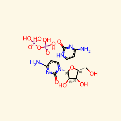 Nc1cc[nH]c(=O)n1.Nc1ccn([C@@H]2O[C@H](CO)[C@@H](O)[C@H]2O)c(=O)n1.O=P(O)(O)OP(=O)(O)O